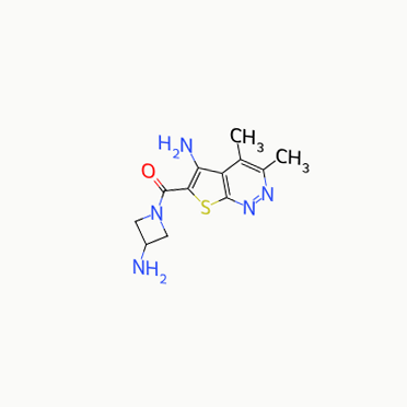 Cc1nnc2sc(C(=O)N3CC(N)C3)c(N)c2c1C